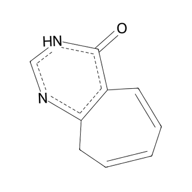 O=c1[nH]cnc2c1C=CC=CC2